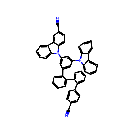 N#Cc1ccc(-c2ccccc2-c2ccccc2-c2cc(-n3c4ccccc4c4ccccc43)cc(-n3c4ccccc4c4cc(C#N)ccc43)c2)cc1